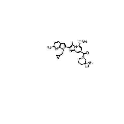 CCc1ccc2cc(-c3nc4cc(C(=O)N5CCCC6(CCN6)C5)cc(OC)n4c3C)n(CC3CC3)c2n1